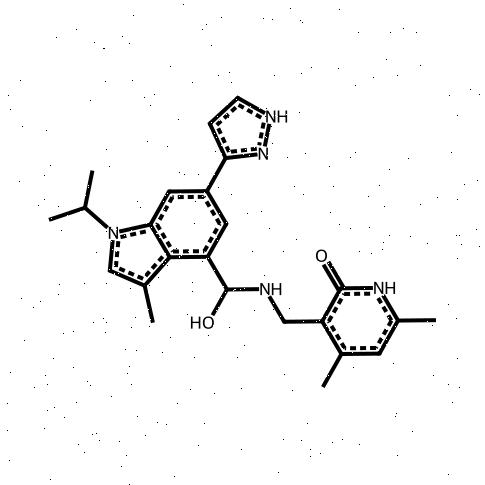 Cc1cc(C)c(CNC(O)c2cc(-c3cc[nH]n3)cc3c2c(C)cn3C(C)C)c(=O)[nH]1